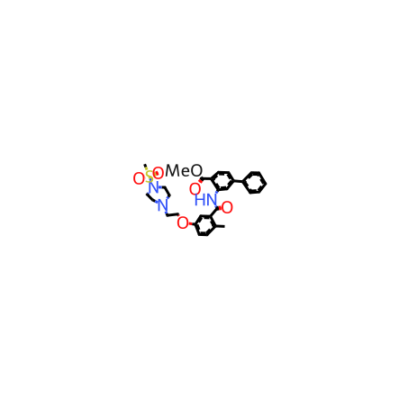 COC(=O)c1ccc(-c2ccccc2)cc1NC(=O)c1cc(OCCN2CCN(S(C)(=O)=O)CC2)ccc1C